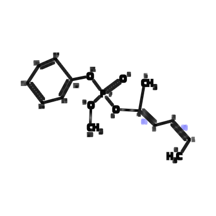 C/C=C\C=C(/C)OP(=O)(OC)Oc1ccccc1